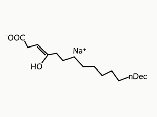 CCCCCCCCCCCCCCCCCCC(O)=CCC(=O)[O-].[Na+]